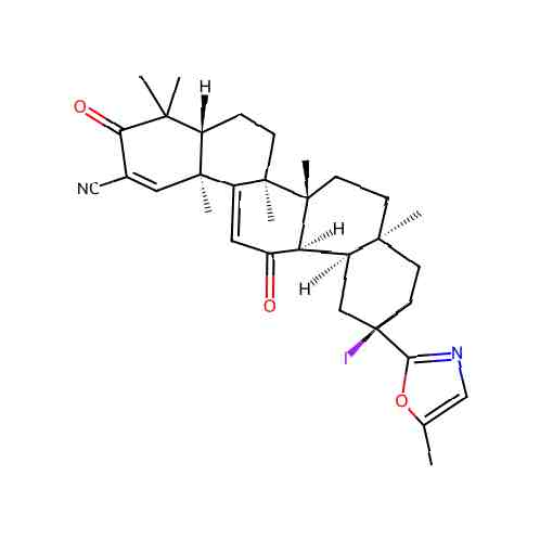 Cc1cnc([C@@]2(I)CC[C@]3(C)CC[C@]4(C)[C@H](C(=O)C=C5[C@@]6(C)C=C(C#N)C(=O)C(C)(C)[C@@H]6CC[C@]54C)[C@@H]3C2)o1